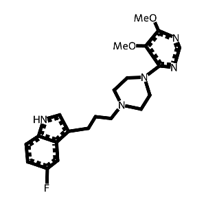 COc1ncnc(N2CCN(CCCc3c[nH]c4ccc(F)cc34)CC2)c1OC